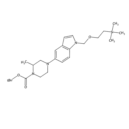 CC1CN(c2ccc3c(ccn3COCC[Si](C)(C)C)c2)CCN1C(=O)OC(C)(C)C